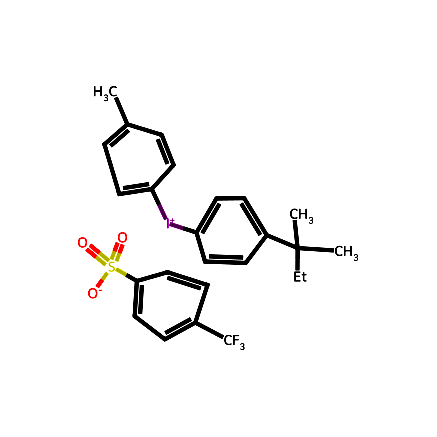 CCC(C)(C)c1ccc([I+]c2ccc(C)cc2)cc1.O=S(=O)([O-])c1ccc(C(F)(F)F)cc1